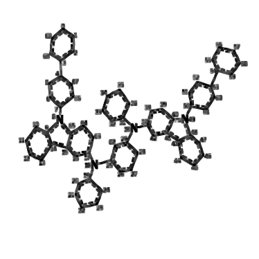 c1ccc(-c2ccc(-n3c4ccccc4c4cc(N(c5ccccc5)c5cccc(N(c6ccccc6)c6ccc7c(c6)c6ccccc6n7-c6ccc(-c7ccccc7)cc6)c5)ccc43)cc2)cc1